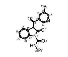 CC(C)NC(=O)N1C(=O)C(C(=O)c2cncc(Br)c2)c2ccccc21